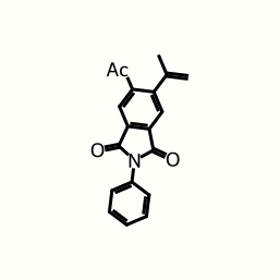 C=C(C)c1cc2c(cc1C(C)=O)C(=O)N(c1ccccc1)C2=O